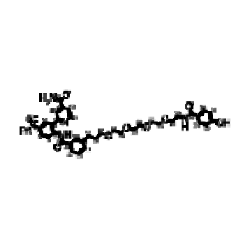 CCN(CC)c1ccc(NC(=O)c2cccc(CCCOCCOCCOCCOCCNC(=O)c3ccc(O)cc3)c2)c(-c2cc(C(N)=O)ccn2)c1